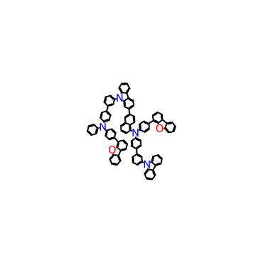 c1ccc(N(c2ccc(-c3cccc(-n4c5ccccc5c5ccc(-c6ccc7c(N(c8ccc(-c9cccc(-n%10c%11ccccc%11c%11ccccc%11%10)c9)cc8)c8ccc(-c9cccc%10c9oc9ccccc9%10)cc8)cccc7c6)cc54)c3)cc2)c2ccc(-c3cccc4c3oc3ccccc34)cc2)cc1